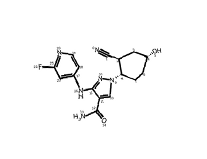 N#C[C@H]1C[C@H](O)CC[C@@H]1n1cc(C(N)=O)c(Nc2ccnc(F)c2)n1